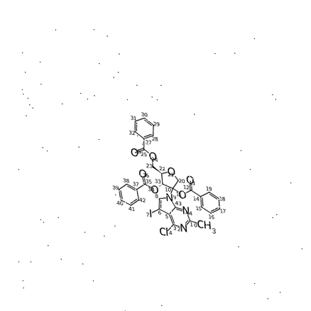 Cc1nc(Cl)c2c(I)cn(C3(OC(=O)c4ccccc4)CO[C@H](COC(=O)c4ccccc4)[C@H]3OC(=O)c3ccccc3)c2n1